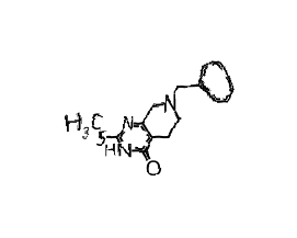 CSc1nc2c(c(=O)[nH]1)CCN(Cc1ccccc1)C2